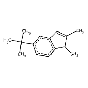 CC1=Cc2cc(C(C)(C)C)ccc2C1[SiH3]